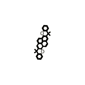 CC1(C)C2=Cc3ccc4c5c(cc6c4c3C(C=C6)C2Oc2ccccc21)C(C)(C)c1ccccc1O5